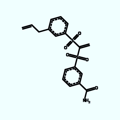 C=CCc1cccc(S(=O)(=O)C(=C)S(=O)(=O)c2cccc(C(N)=O)c2)c1